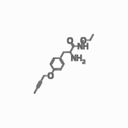 CC#CCOc1ccc(CC(N)C(=O)NOCC)cc1